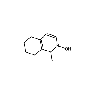 CC1C2=C(C=CN1O)CCCC2